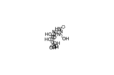 O=P(O)(O)C(CO)OC[C@H]1O[C@@H](n2ncc3c(NC4CCCC4)nc(CCO)nc32)[C@H](O)[C@@H]1O